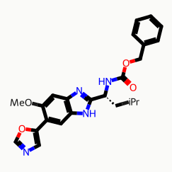 COc1cc2nc([C@@H](CC(C)C)NC(=O)OCc3ccccc3)[nH]c2cc1-c1cnco1